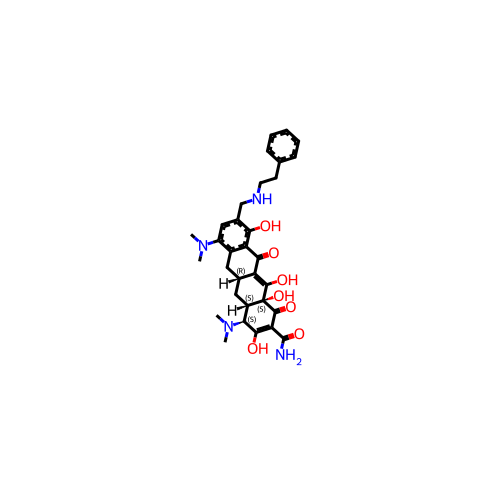 CN(C)c1cc(CNCCc2ccccc2)c(O)c2c1C[C@H]1C[C@H]3[C@H](N(C)C)C(O)=C(C(N)=O)C(=O)[C@@]3(O)C(O)=C1C2=O